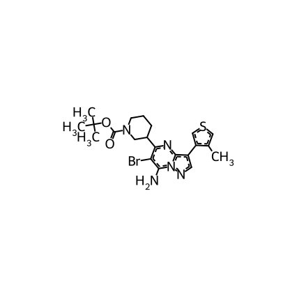 Cc1cscc1-c1cnn2c(N)c(Br)c(C3CCCN(C(=O)OC(C)(C)C)C3)nc12